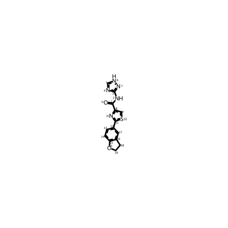 O=C(Nc1nc[nH]n1)c1csc(-c2ccc3c(c2)CCO3)n1